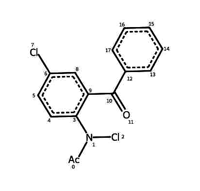 CC(=O)N(Cl)c1ccc(Cl)cc1C(=O)c1ccccc1